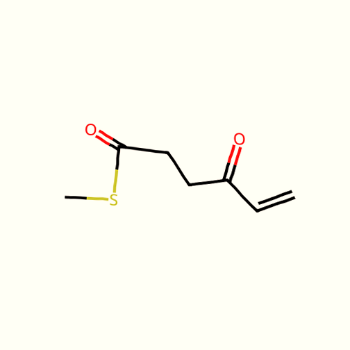 C=CC(=O)CCC(=O)SC